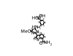 COc1cc(NCc2cccc(B(O)O)c2)nc(-c2c(C)sc3c(C(N)=O)cccc23)n1